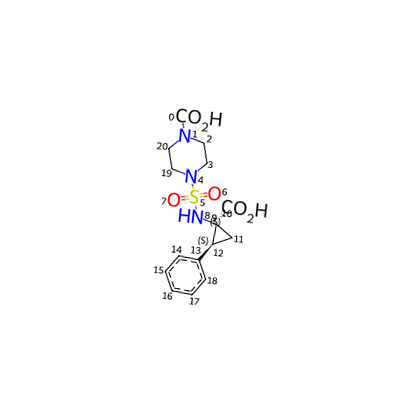 O=C(O)N1CCN(S(=O)(=O)N[C@@]2(C(=O)O)C[C@H]2c2ccccc2)CC1